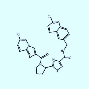 O=C(NCc1ccc2cc(Cl)ccc2c1)c1csc(C2CCCN2C(=O)c2cn3cc(Cl)ccc3n2)n1